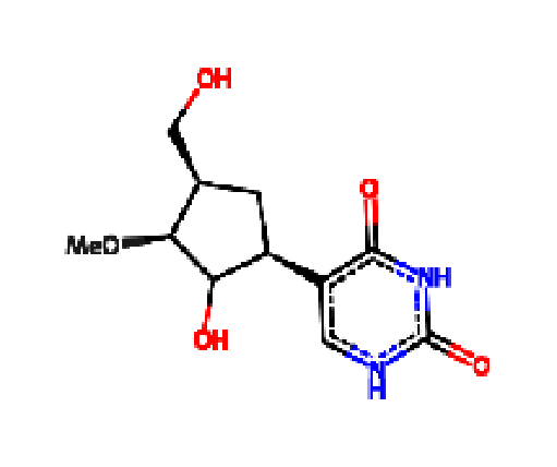 CO[C@@H]1C(O)[C@H](c2c[nH]c(=O)[nH]c2=O)C[C@@H]1CO